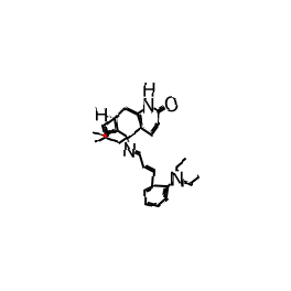 C/C=C1\[C@H]2C=C(C)C[C@]1(N=CC=Cc1ccccc1N(CC)CC)c1ccc(=O)[nH]c1C2